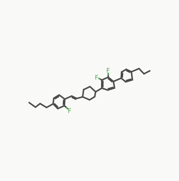 CCCCc1ccc(/C=C/C2CCC(c3ccc(-c4ccc(CCC)cc4)c(F)c3F)CC2)c(F)c1